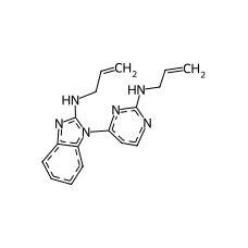 C=CCNc1nccc(-n2c(NCC=C)nc3ccccc32)n1